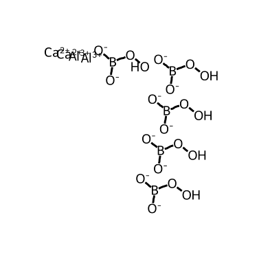 [Al+3].[Al+3].[Ca+2].[Ca+2].[O-]B([O-])OO.[O-]B([O-])OO.[O-]B([O-])OO.[O-]B([O-])OO.[O-]B([O-])OO